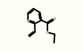 C=Cc1ncccc1C(=O)OCC